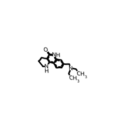 CCN(CC)Cc1ccc2c3c(c(=O)[nH]c2c1)CCCN3